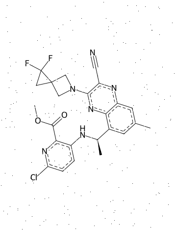 COC(=O)c1nc(Cl)ccc1N[C@H](C)c1cc(C)cc2nc(C#N)c(N3CC4(C3)CC4(F)F)nc12